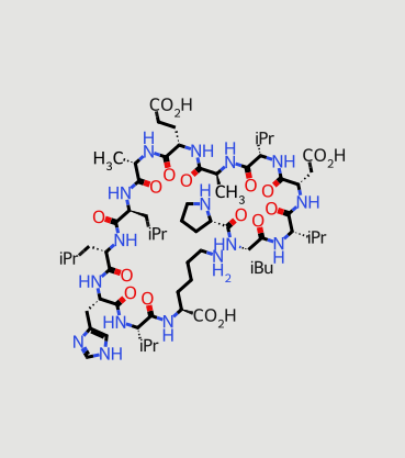 CC[C@H](C)[C@H](NC(=O)[C@@H]1CCCN1)C(=O)N[C@H](C(=O)N[C@@H](CC(=O)O)C(=O)N[C@H](C(=O)N[C@@H](C)C(=O)N[C@@H](CCC(=O)O)C(=O)N[C@@H](C)C(=O)N[C@@H](CC(C)C)C(=O)N[C@@H](CC(C)C)C(=O)N[C@@H](Cc1c[nH]cn1)C(=O)N[C@H](C(=O)N[C@@H](CCCCN)C(=O)O)C(C)C)C(C)C)C(C)C